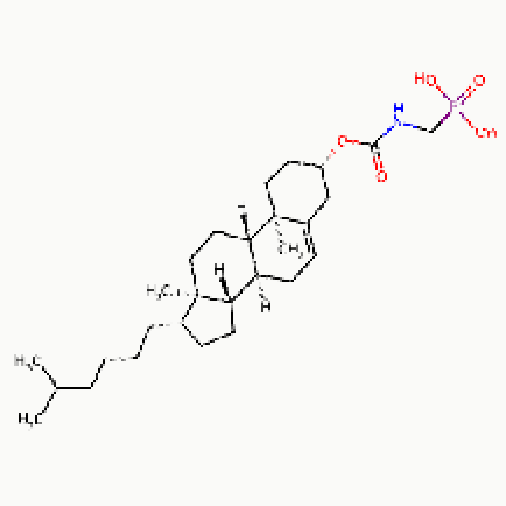 CC(C)CCCC[C@H]1CC[C@H]2[C@@H]3CC=C4C[C@@H](OC(=O)NCP(=O)(O)O)CC[C@]4(C)[C@H]3CC[C@]12C